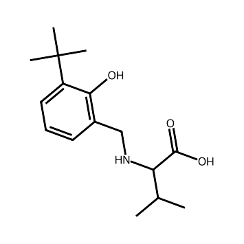 CC(C)C(NCc1cccc(C(C)(C)C)c1O)C(=O)O